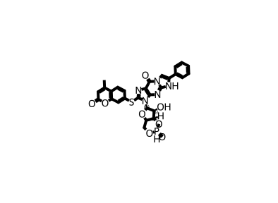 Cc1cc(=O)oc2cc(Sc3nc4c(=O)n5cc(-c6ccccc6)[nH]c5nc4n3[C@@H]3OC4CO[PH](=O)O[C@H]4[C@@H]3O)ccc12